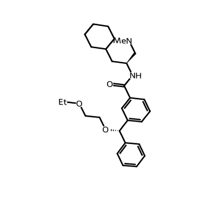 CCOCCO[C@@H](c1ccccc1)c1cccc(C(=O)N[C@H](CNC)CC2CCCCC2)c1